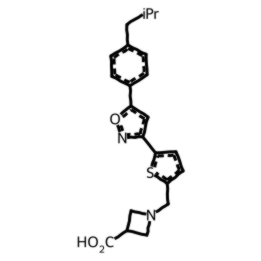 CC(C)Cc1ccc(-c2cc(-c3ccc(CN4CC(C(=O)O)C4)s3)no2)cc1